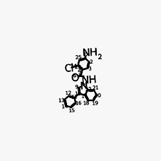 Nc1ccc(C(=O)Nn2cc(-c3ccccc3)c3ccccc32)c(Cl)c1